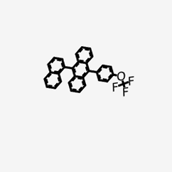 FC(F)(F)Oc1ccc(-c2c3ccccc3c(-c3cccc4ccccc34)c3ccccc23)cc1